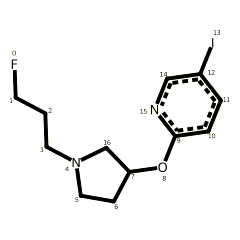 FCCCN1CCC(Oc2ccc(I)cn2)C1